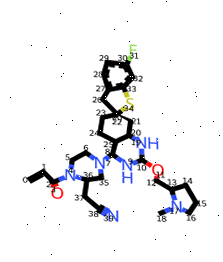 C=CC(=O)N1CCN(C2NC(OCC3CCCN3C)NC3C[C@@]4(CCC32)Cc2ccc(F)cc2S4)CC1CC#N